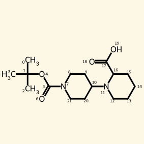 CC(C)(C)OC(=O)N1CCC(N2CCCCC2C(=O)O)CC1